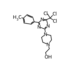 Cc1ccc(-c2nc(N3CCN(CCO)CC3)nc(C(Cl)(Cl)Cl)n2)cc1